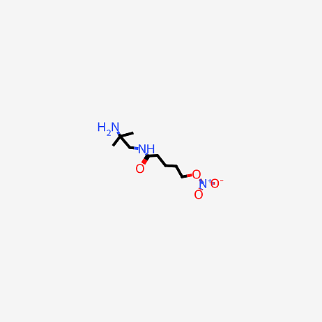 CC(C)(N)CNC(=O)CCCCO[N+](=O)[O-]